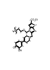 CCOC(=O)c1cc2c(nc(CN3CC=C(c4ccc(Cl)c(O)c4)CC3)n2COCC[Si](C)(C)C)s1